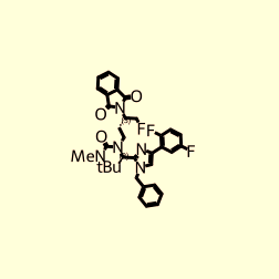 CNC(=O)N(CC[C@@H](CF)N1C(=O)c2ccccc2C1=O)[C@@H](c1nc(-c2cc(F)ccc2F)cn1Cc1ccccc1)C(C)(C)C